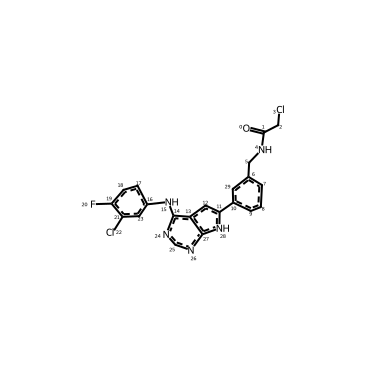 O=C(CCl)NCc1cccc(-c2cc3c(Nc4ccc(F)c(Cl)c4)ncnc3[nH]2)c1